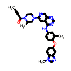 CC#CC(=O)N1CCN(c2cc3c(Nc4ccc(Oc5ccc6c(c5)ncn6C)c(C)c4)ncnc3cn2)CC1C